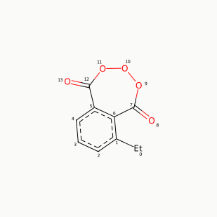 CCc1cccc2c1C(=O)OOOC2=O